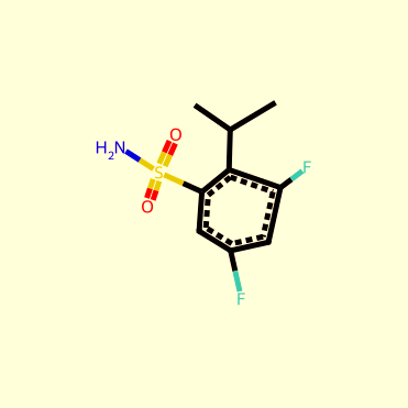 CC(C)c1c(F)cc(F)cc1S(N)(=O)=O